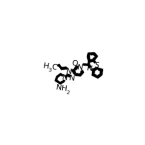 CCC=Cn1c(N2CCCC(N)C2)nc2ccn(CC3=Nc4ccccc4Sc4ccccc43)c(=O)c21